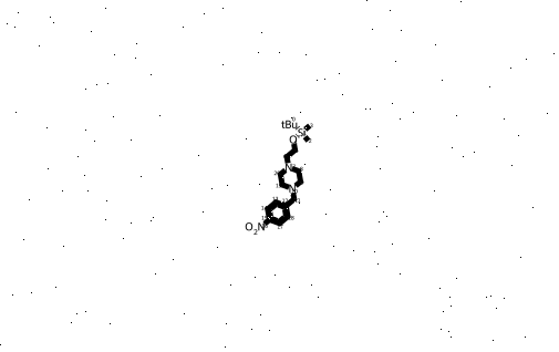 CC(C)(C)[Si](C)(C)OCCN1CCN(Cc2ccc([N+](=O)[O-])cc2)CC1